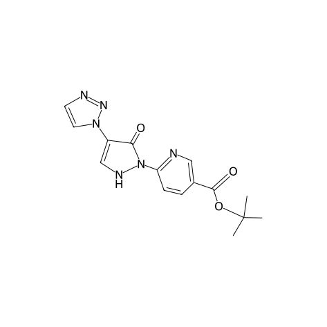 CC(C)(C)OC(=O)c1ccc(-n2[nH]cc(-n3ccnn3)c2=O)nc1